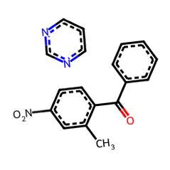 Cc1cc([N+](=O)[O-])ccc1C(=O)c1ccccc1.c1cncnc1